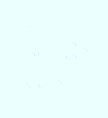 C[C@@H]1COCc2nc3cc(C(=O)Nc4ccc(OC(F)(F)Cl)cc4)cc(-c4cnc5c(c4)-c4nn(-c6ncc(F)cn6)cc4C5)c3n21